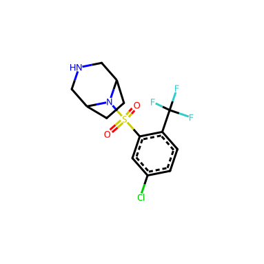 O=S(=O)(c1cc(Cl)ccc1C(F)(F)F)N1C2CCC1CNC2